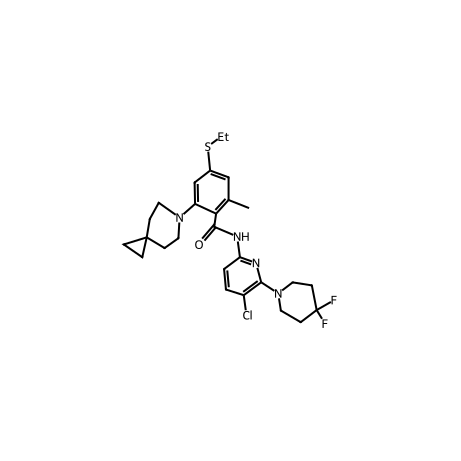 CCSc1cc(C)c(C(=O)Nc2ccc(Cl)c(N3CCC(F)(F)CC3)n2)c(N2CCC3(CC2)CC3)c1